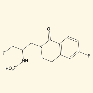 O=C(O)NC(CF)CN1CCc2cc(F)ccc2C1=O